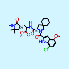 COC(=O)C(C[C@@H]1CC(C)(C)NC1=O)NC(=O)[C@@H]1CC2(CCCCC2)CN1C(=O)c1cc2c(OC)ccc(Cl)c2[nH]1